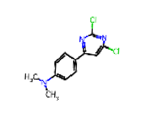 CN(C)c1ccc(-c2cc(Cl)nc(Cl)n2)cc1